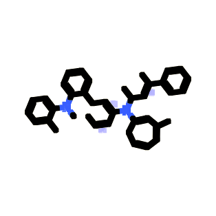 C/C=C\C(=C/Cc1ccccc1N(C)c1ccccc1C)N(C1=CC(C)=CC=CC1)C(C)/C=C(\C)c1ccccc1